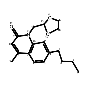 CCCCc1ccc2c(C)cc(=O)n(CC3OCCO3)c2c1